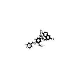 CCc1cc(F)c2c(c1)CC[C@H](C)N2S(=O)(=O)c1ccc(OCC2CCOCC2)c(CO)c1